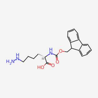 NNCCCC[C@H](NC(=O)OCC1c2ccccc2-c2ccccc21)C(=O)O